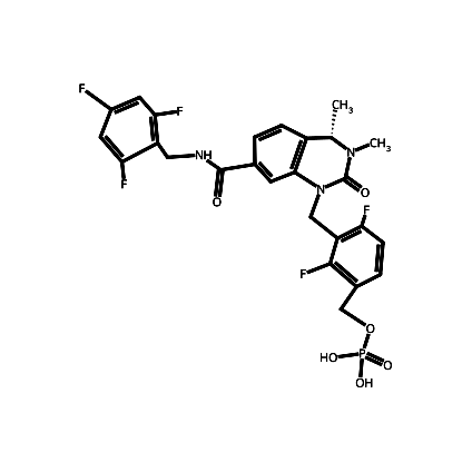 C[C@H]1c2ccc(C(=O)NCc3c(F)cc(F)cc3F)cc2N(Cc2c(F)ccc(COP(=O)(O)O)c2F)C(=O)N1C